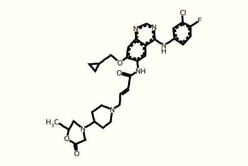 CC1CN(C2CCN(CC=CC(=O)Nc3cc4c(Nc5ccc(F)c(Cl)c5)ncnc4cc3OCC3CC3)CC2)CC(=O)O1